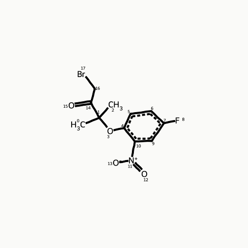 CC(C)(Oc1ccc(F)cc1[N+](=O)[O-])C(=O)CBr